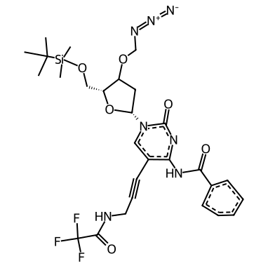 CC(C)(C)[Si](C)(C)OC[C@H]1O[C@@H](n2cc(C#CCNC(=O)C(F)(F)F)c(NC(=O)c3ccccc3)nc2=O)CC1OCN=[N+]=[N-]